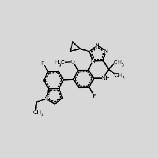 CCn1ccc2c(-c3cc(F)c4c(c3OC)-n3c(C5CC5)nnc3C(C)(C)N4)cc(F)cc21